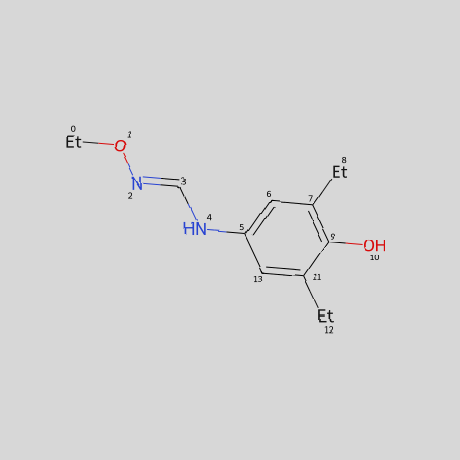 CCO/N=C/Nc1cc(CC)c(O)c(CC)c1